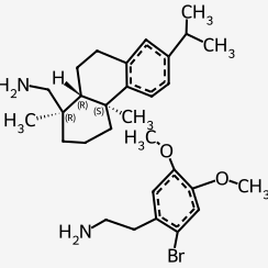 CC(C)c1ccc2c(c1)CC[C@H]1[C@](C)(CN)CCC[C@]21C.COc1cc(Br)c(CCN)cc1OC